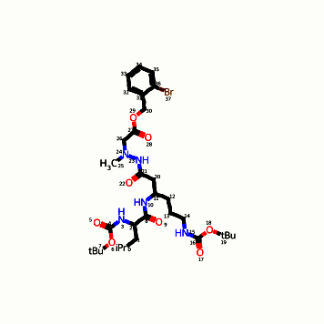 CC(C)CC(NC(=O)OC(C)(C)C)C(=O)NC(CCCNC(=O)OC(C)(C)C)CC(=O)NN(C)CC(=O)OCc1ccccc1Br